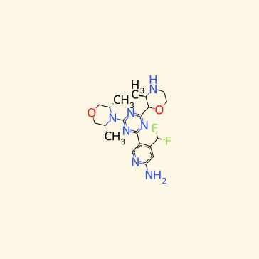 C[C@@H]1COC[C@H](C)N1c1nc(-c2cnc(N)cc2C(F)F)nc(C2OCCN[C@@H]2C)n1